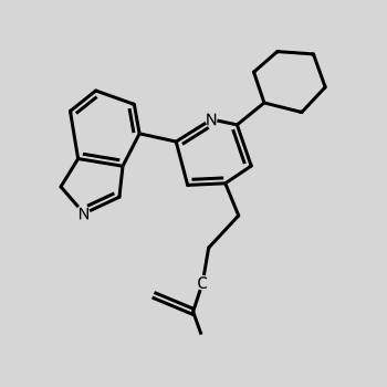 C=C(C)CCCc1cc(-c2cccc3c2C=NC3)nc(C2CCCCC2)c1